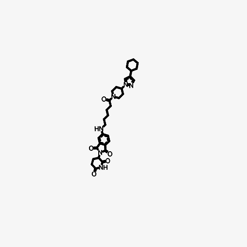 O=C1CCC(N2C(=O)c3ccc(NCCCCCC(=O)N4CCC(n5cc(C6CCCCC6)cn5)CC4)cc3C2=O)C(=O)N1